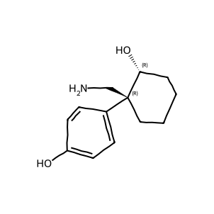 NC[C@]1(c2ccc(O)cc2)CCCC[C@H]1O